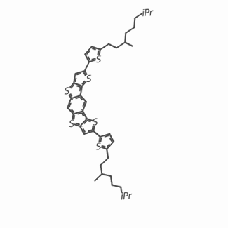 CC(C)CCCC(C)CCc1ccc(-c2cc3sc4cc5sc6cc(-c7ccc(CCC(C)CCCC(C)C)s7)sc6c5cc4c3s2)s1